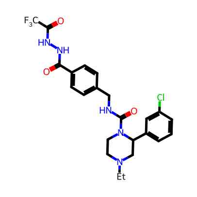 CCN1CCN(C(=O)NCc2ccc(C(=O)NNC(=O)C(F)(F)F)cc2)C(c2cccc(Cl)c2)C1